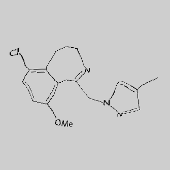 COc1ccc(Cl)c2c1C(Cn1cc(C)cn1)=NCC2